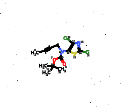 CC#CCN(C(=O)OC(C)(C)C)c1sc(Cl)nc1Cl